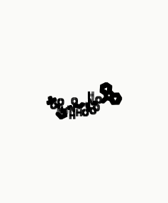 CC(C)(C)OC(=O)N1CCC[C@H]1CNC(=O)CC[C@H](NC(=O)OCC1c2ccccc2-c2ccccc21)C(=O)O